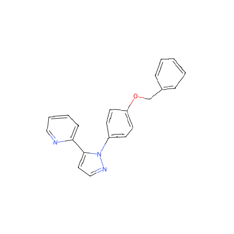 c1ccc(COc2ccc(-n3nccc3-c3ccccn3)cc2)cc1